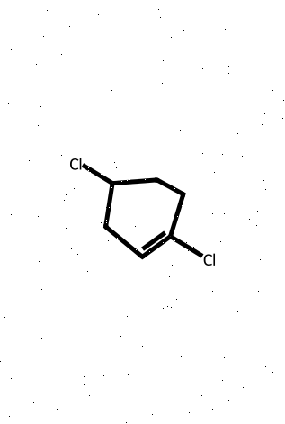 ClC1=CCC(Cl)CC1